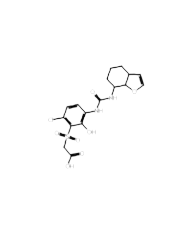 O=C(O)CS(=O)(=O)c1c(Cl)ccc(NC(=O)NC2CCCC3C=COC32)c1O